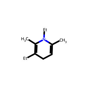 CCC1=C(C)N(CC)C(C)=CC1